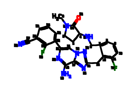 CN1CCC(NCc2cccc(F)c2Cc2nc3c(N)nc(-c4cccc(C#N)c4F)cn3n2)C1=O